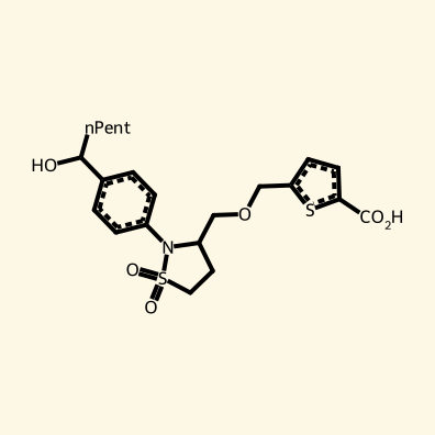 CCCCCC(O)c1ccc(N2C(COCc3ccc(C(=O)O)s3)CCS2(=O)=O)cc1